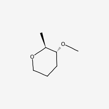 CO[C@@H]1CCCO[C@H]1C